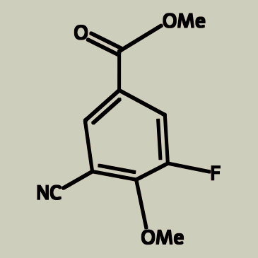 COC(=O)c1cc(F)c(OC)c(C#N)c1